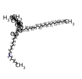 CCCCCC/C=C\CCCCCCCCCC(=O)OC[C@H](COP(=O)([O-])OCC[N+](C)(C)C)OC(=O)CCCCCCCCCCCCCCCCCCCCCCC